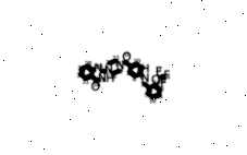 O=C(c1ccc(NCc2ccccc2OC(F)(F)F)cc1)N1CCN(c2nc3ccccc3c(=O)[nH]2)CC1